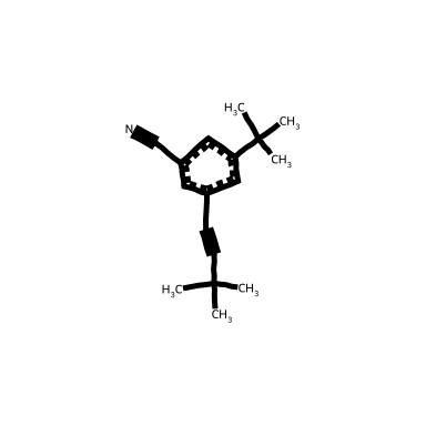 CC(C)(C)C#Cc1cc(C#N)cc(C(C)(C)C)c1